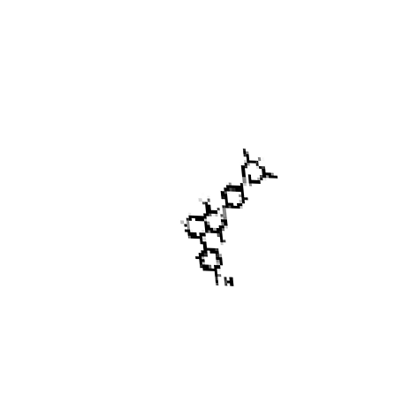 Cc1cn(-c2ccc(N3CC(C)OC(C)C3)cc2)c(=O)c2cncc(-c3ccc(C#N)cc3)c12